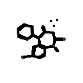 CN1C(=O)CC(=O)N(c2ccccn2)c2cc(Cl)ccc21